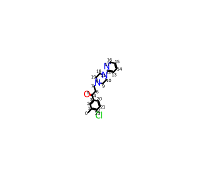 Cc1cc(C(=O)CCN2CCN(c3ccccn3)CC2)ccc1Cl